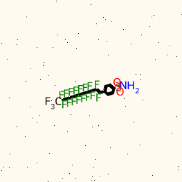 NS(=O)(=O)c1ccc(C(F)=C(F)C(F)(F)C(F)(F)C(F)(F)C(F)(F)C(F)(F)C(F)(F)C(F)(F)C(F)(F)F)cc1